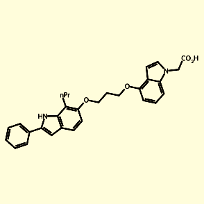 CCCc1c(OCCCOc2cccc3c2ccn3CC(=O)O)ccc2cc(-c3ccccc3)[nH]c12